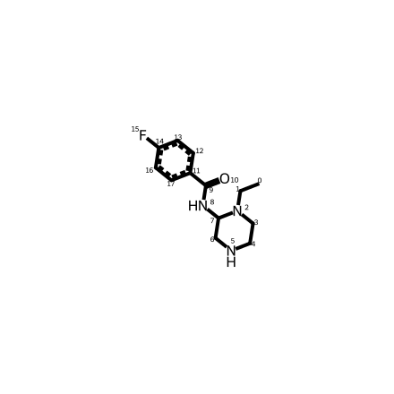 CCN1CCNCC1NC(=O)c1ccc(F)cc1